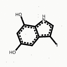 Oc1cc(O)c2[nH]cc(I)c2c1